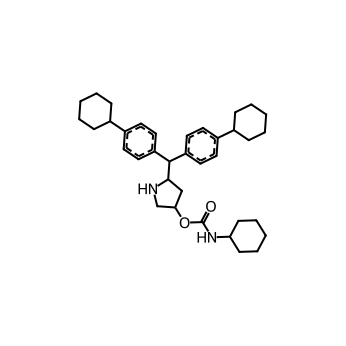 O=C(NC1CCCCC1)OC1CNC(C(c2ccc(C3CCCCC3)cc2)c2ccc(C3CCCCC3)cc2)C1